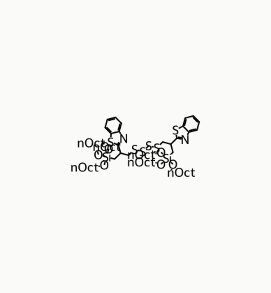 CCCCCCCCO[Si](CC(CSSSSCC(C[Si](OCCCCCCCC)(OCCCCCCCC)OCCCCCCCC)c1nc2ccccc2s1)c1nc2ccccc2s1)(OCCCCCCCC)OCCCCCCCC